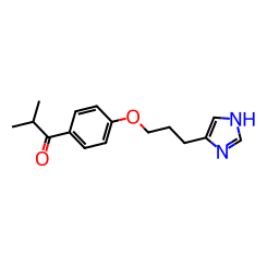 CC(C)C(=O)c1ccc(OCCCc2c[nH]cn2)cc1